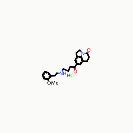 COc1ccccc1CCNCCCC(=O)c1cc2c3c(c1)CCN3C(=O)CC2.Cl